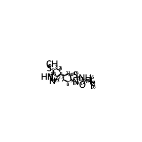 CSc1ccc(-c2ccc3nc(NC(=O)[C@@H]4C[C@@H]4F)sc3c2)c2cn[nH]c12